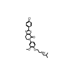 COc1cc(N2CCc3nc(-c4ccc(Cl)cc4)sc3C2=O)ccc1OCCNCC(C)C